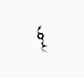 COC(=O)COc1ccc(OC#N)cc1